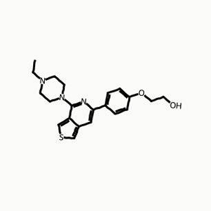 CCN1CCN(c2nc(-c3ccc(OCCO)cc3)cc3cscc23)CC1